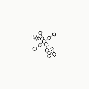 C[Si]1(C)c2ccccc2-c2cc3c(-c4ccc(-c5ccccc5)cc4)c4c(c(-c5ccc(C6C=CC=CC6)cc5)c3cc21)=CC(c1ccc2c(c1)C1(C3=C2CCC=C3)C2=C(C=CC2)c2ccccc21)CC=4